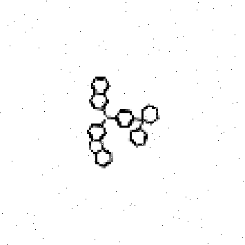 c1ccc(C2(c3ccc(N(c4ccc5ccccc5c4)c4ccc5oc6ccccc6c5c4)cc3)CCCCC2)cc1